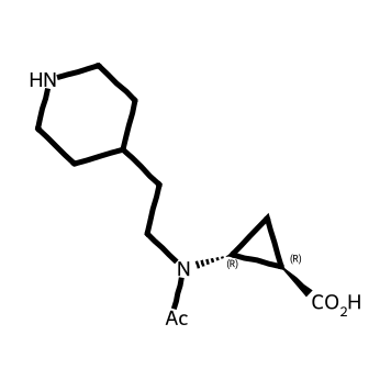 CC(=O)N(CCC1CCNCC1)[C@@H]1C[C@H]1C(=O)O